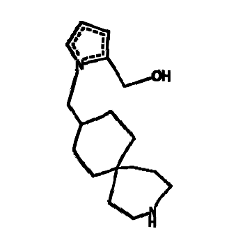 OCc1cccn1CC1CCC2(CCNCC2)CC1